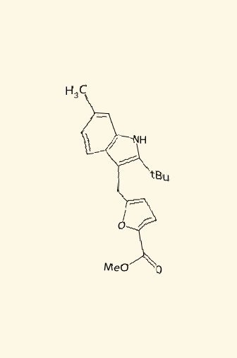 COC(=O)c1ccc(Cc2c(C(C)(C)C)[nH]c3cc(C)ccc23)o1